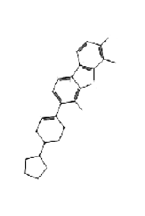 Fc1c(C2=CCC(C3CCCC3)CC2)ccc2c1oc1c(F)c(C(F)(F)F)ccc12